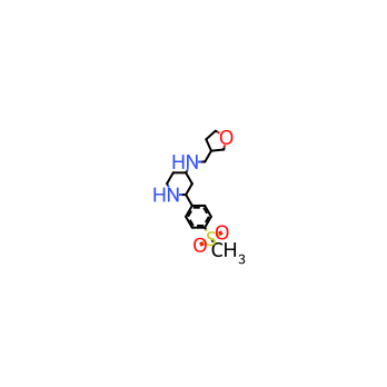 CS(=O)(=O)c1ccc(C2CC(NCC3CCOC3)CCN2)cc1